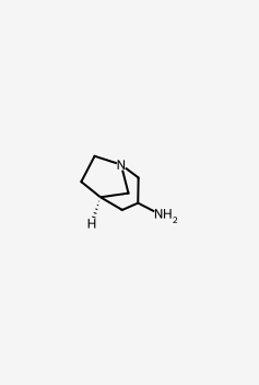 NC1C[C@H]2CCN(C1)C2